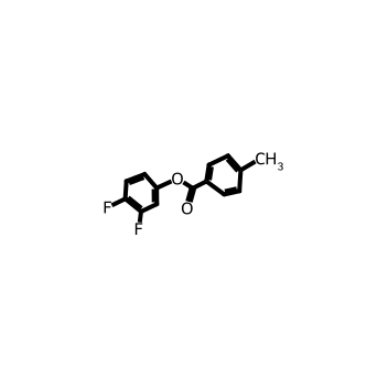 Cc1ccc(C(=O)Oc2ccc(F)c(F)c2)cc1